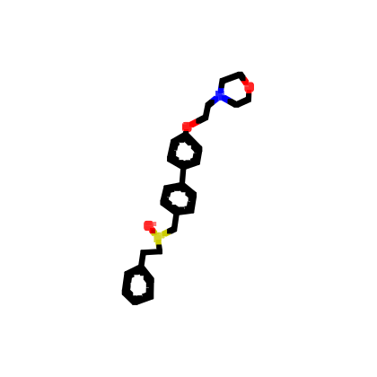 [O-][S+](CCc1ccccc1)Cc1ccc(-c2ccc(OCCN3CCOCC3)cc2)cc1